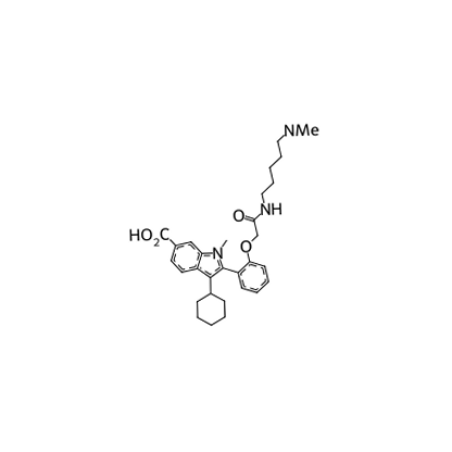 CNCCCCCNC(=O)COc1ccccc1-c1c(C2CCCCC2)c2ccc(C(=O)O)cc2n1C